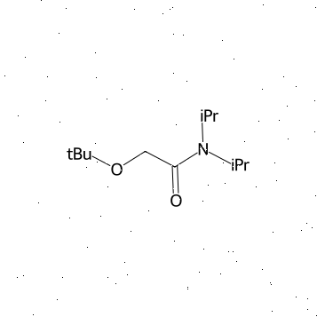 CC(C)N(C(=O)COC(C)(C)C)C(C)C